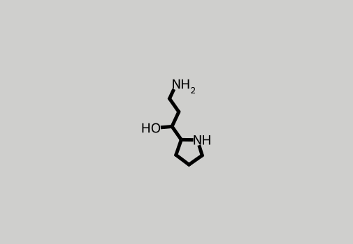 NCCC(O)C1CCCN1